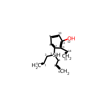 C=CC[SiH](CC=C)c1cccc(O)c1C=C